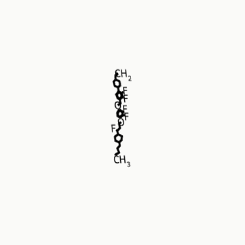 C=CC1CCC(c2ccc(COc3ccc(OCCC(F)C4CCC(CCCCC)CC4)c(F)c3F)c(F)c2F)CC1